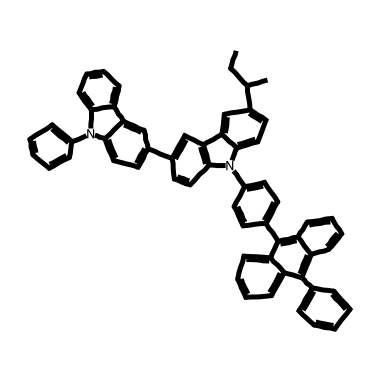 CCC(C)c1ccc2c(c1)c1cc(-c3ccc4c(c3)c3ccccc3n4-c3ccccc3)ccc1n2-c1ccc(-c2c3ccccc3c(-c3ccccc3)c3ccccc23)cc1